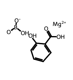 O=C(O)c1ccccc1O.[Mg+2].[O-]B([O-])O